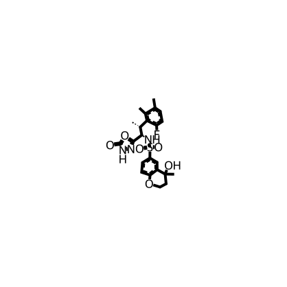 Cc1ccc(F)c([C@@H](C)[C@H](NS(=O)(=O)c2ccc3c(c2)C(C)(O)CCO3)c2n[nH]c(=O)o2)c1C